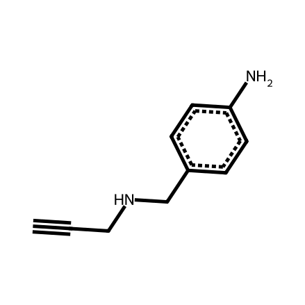 C#CCNCc1ccc(N)cc1